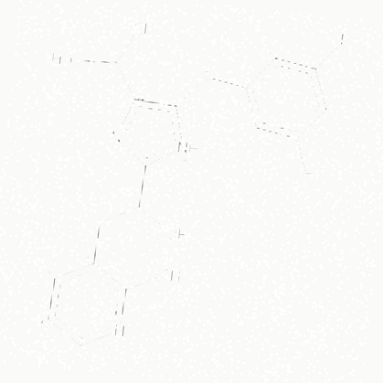 Cc1ncccc1CC(O)c1nc(C(C)C)c(Sc2cc(F)cc(F)c2)[nH]1